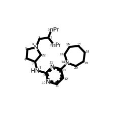 CCCC(CCC)CN1CCC(Nc2nccc(N3CCCCCC3)n2)C1